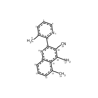 Cc1cccnc1-c1nc2cccc(C)c2c(N)c1C#N